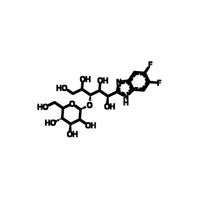 OCC(O)[C@@H](O[C@H]1OC(CO)[C@@H](O)[C@H](O)C1O)C(O)[C@H](O)c1nc2cc(F)c(F)cc2[nH]1